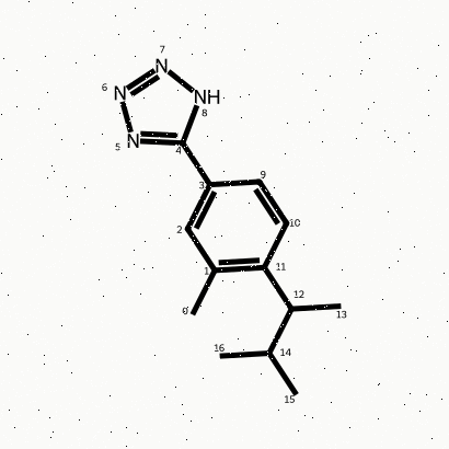 Cc1cc(-c2nnn[nH]2)ccc1C(C)C(C)C